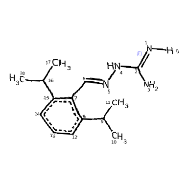 [H]/N=C(\N)NN=Cc1c(C(C)C)cccc1C(C)C